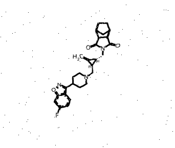 C=C1[C@H](CN2CCC(c3noc4cc(F)ccc34)CC2)[C@H]1CN1C(=O)C2C3CCC(C3)C2C1=O